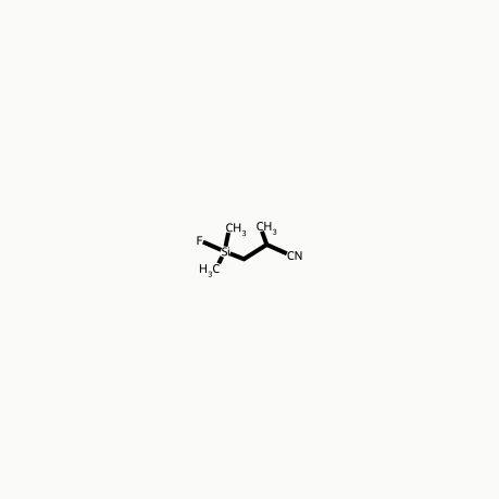 CC(C#N)C[Si](C)(C)F